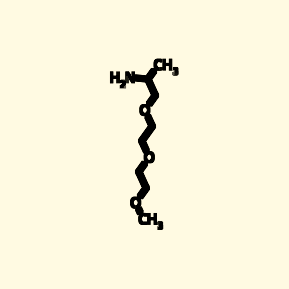 COCCOCCOCC(C)N